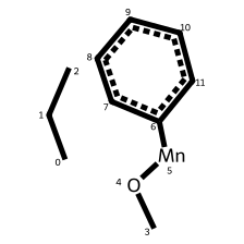 CCC.C[O][Mn][c]1ccccc1